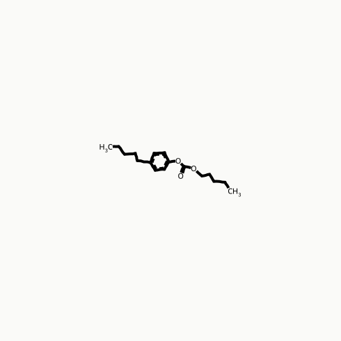 CCCCCOC(=O)Oc1ccc(CCCCC)cc1